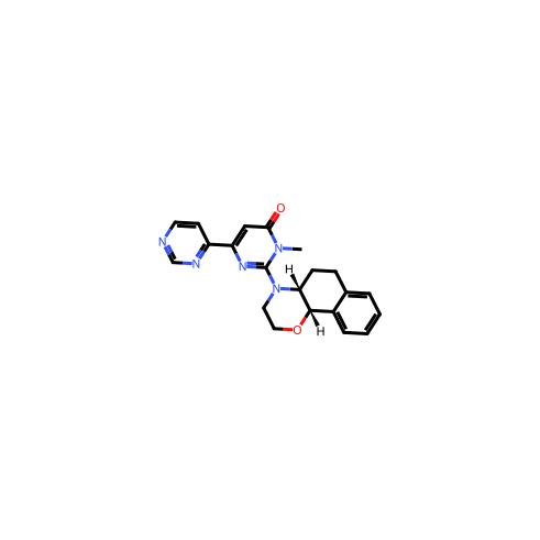 Cn1c(N2CCO[C@H]3c4ccccc4CC[C@H]32)nc(-c2ccncn2)cc1=O